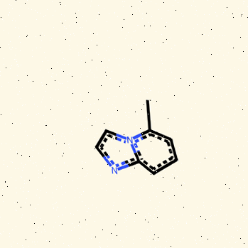 [CH2]c1cccc2nccn12